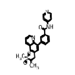 CC(Cc1cc(-c2cccc(C(=O)Nc3ccncc3)c2)c2ncccc2c1)S(C)(=O)=O